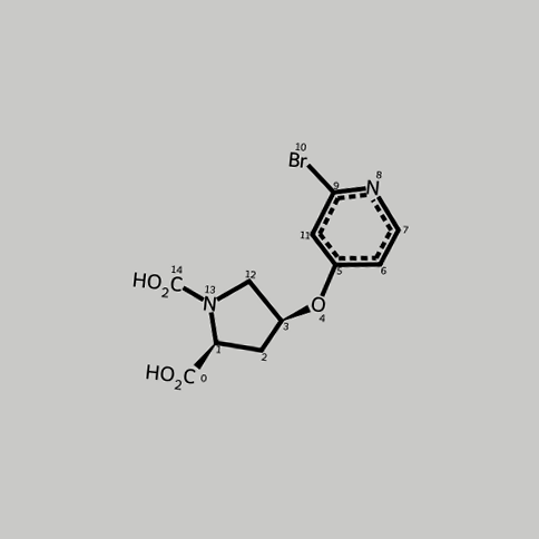 O=C(O)[C@@H]1C[C@H](Oc2ccnc(Br)c2)CN1C(=O)O